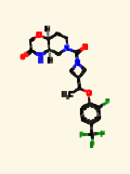 CC(Oc1ccc(C(F)(F)F)cc1F)C1CN(C(=O)N2CC[C@@H]3OCC(=O)N[C@@H]3C2)C1